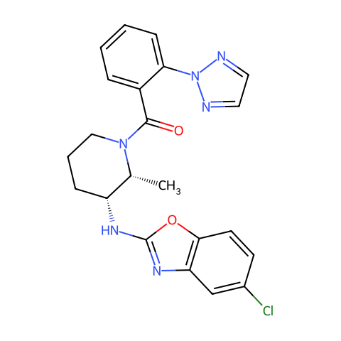 C[C@@H]1[C@H](Nc2nc3cc(Cl)ccc3o2)CCCN1C(=O)c1ccccc1-n1nccn1